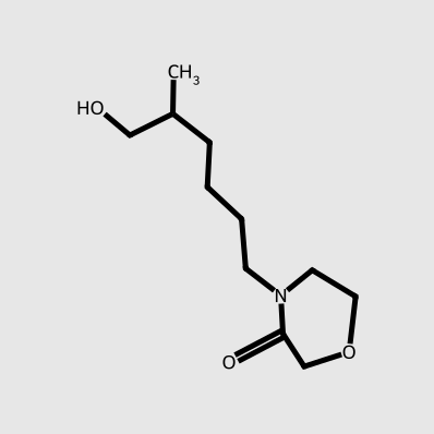 CC(CO)CCCCN1CCOCC1=O